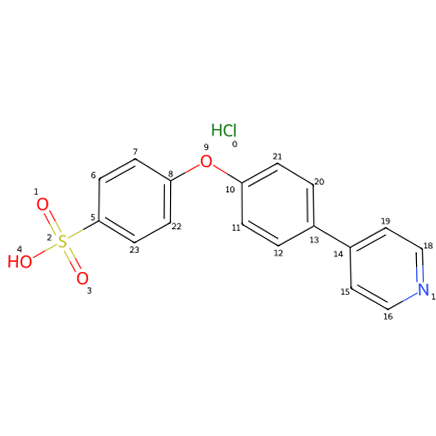 Cl.O=S(=O)(O)c1ccc(Oc2ccc(-c3ccncc3)cc2)cc1